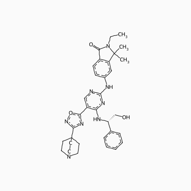 CCN1C(=O)c2ccc(Nc3ncc(-c4nc(C56CCN(CC5)CC6)no4)c(N[C@H](CO)c4ccccc4)n3)cc2C1(C)C